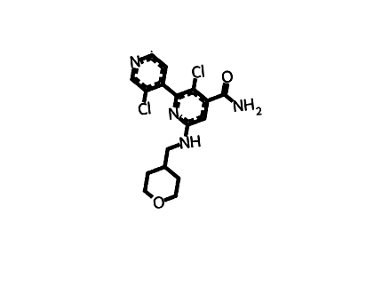 NC(=O)c1cc(NCC2CCOCC2)nc(-c2c[c]ncc2Cl)c1Cl